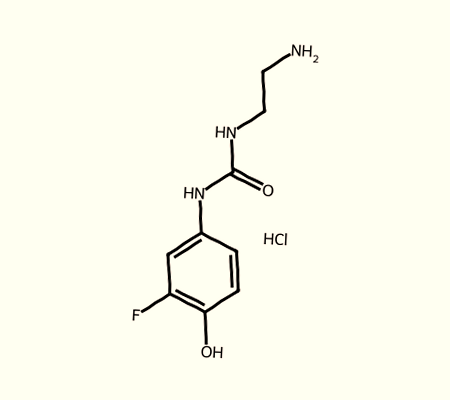 Cl.NCCNC(=O)Nc1ccc(O)c(F)c1